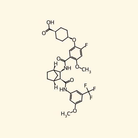 COc1cc(NC(=O)[C@H]2[C@@H]3CC[C@@H](C3)[C@H]2NC(=O)c2cc(O[C@H]3CC[C@@H](C(=O)O)CC3)c(F)cc2OC)cc(C(F)(F)F)c1